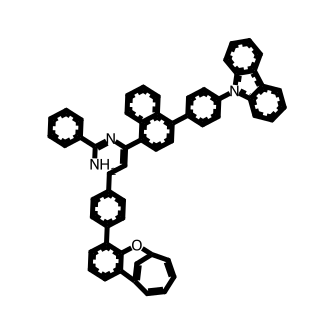 N/C(=N\C(=C/Cc1ccc(-c2cccc3c2OC2C=CC=CC3=C2)cc1)c1ccc(-c2ccc(-n3c4ccccc4c4ccccc43)cc2)c2ccccc12)c1ccccc1